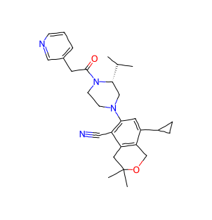 CC(C)[C@@H]1CN(c2cc(C3CC3)c3c(c2C#N)CC(C)(C)OC3)CCN1C(=O)Cc1cccnc1